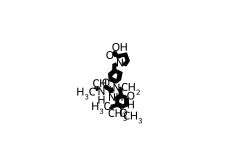 C=C(c1cc(C(C)C)c(OC)cc1O)N(C(=N)C(=O)NC(C)C)c1ccc(CN2CCCC2C(=O)O)cc1